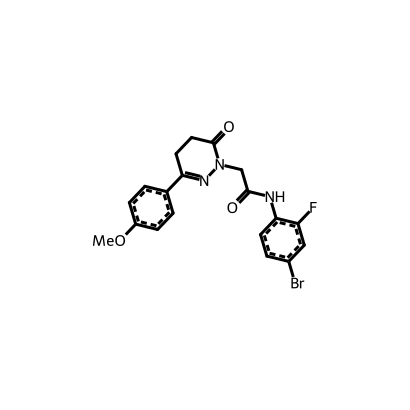 COc1ccc(C2=NN(CC(=O)Nc3ccc(Br)cc3F)C(=O)CC2)cc1